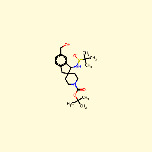 CC(C)(C)OC(=O)N1CCC2(CC1)Cc1ccc(CO)cc1[C@H]2N[S@+]([O-])C(C)(C)C